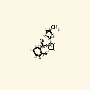 Cc1csc([C@H]2CCCN2C(=O)c2ccccc2F)n1